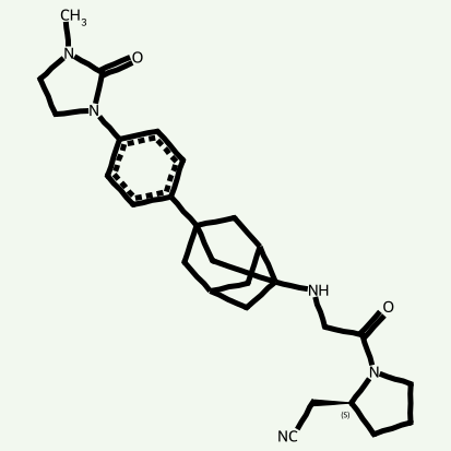 CN1CCN(c2ccc(C34CC5CC(C3)C(NCC(=O)N3CCC[C@H]3CC#N)(C5)C4)cc2)C1=O